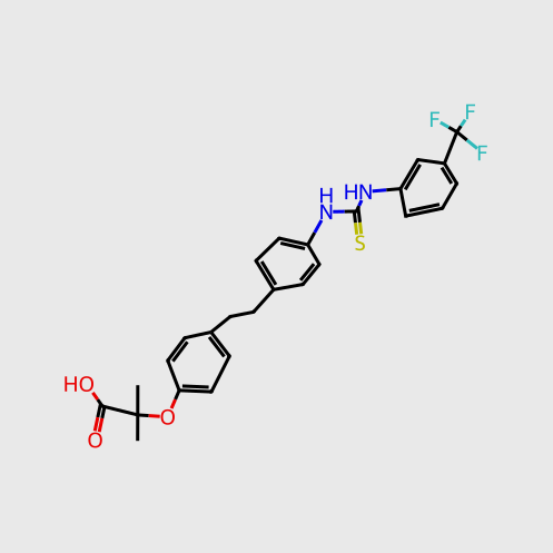 CC(C)(Oc1ccc(CCc2ccc(NC(=S)Nc3cccc(C(F)(F)F)c3)cc2)cc1)C(=O)O